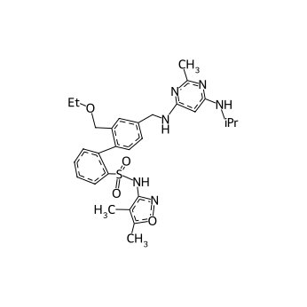 CCOCc1cc(CNc2cc(NC(C)C)nc(C)n2)ccc1-c1ccccc1S(=O)(=O)Nc1noc(C)c1C